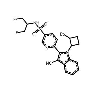 CCC1CCC1n1c(-c2ccc(S(=O)(=O)NC(CF)CF)cn2)c(C#N)c2ccccc21